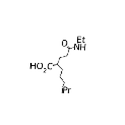 CCNC(=O)CC[C@@H](CCCC(C)C)C(=O)O